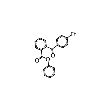 CCc1ccc(C(=O)c2ccccc2C(=O)Oc2ccccc2)cc1